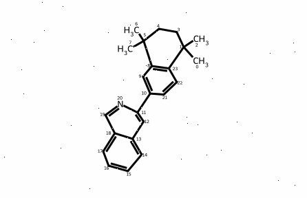 CC1(C)CCC(C)(C)c2cc(-c3cc4ccccc4cn3)ccc21